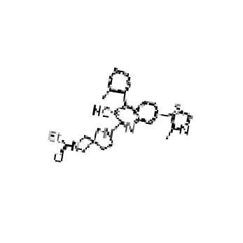 CCC(=O)N1CC2(CCN(c3nc4cc(-c5scnc5C)ccc4c(-c4ccccc4C)c3C#N)C2)C1